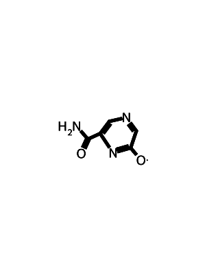 NC(=O)c1cncc([O])n1